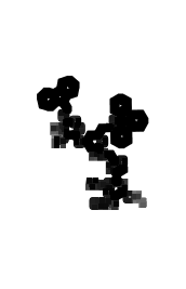 COC(=O)C(C)/N=C(\OC)c1coc(CNC(=O)CC(/C=C/CCSC(c2ccccc2)(c2ccccc2)c2ccccc2)OC(=O)[C@@H](NC(=O)OCC2c3ccccc3-c3ccccc32)C(C)C)n1